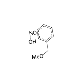 COCc1ccccc1.O=[N+]([O-])O